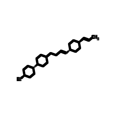 C/C=C/[C@H]1CC[C@H](/C=C/CCC2CCC([C@H]3CC[C@H](CC)CC3)CC2)CC1